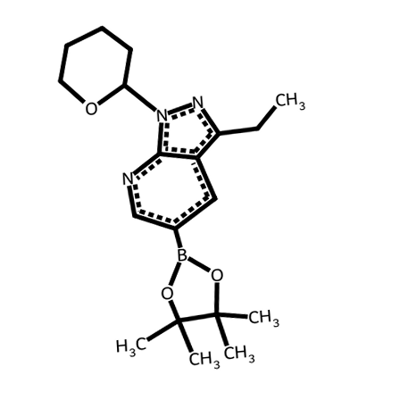 CCc1nn(C2CCCCO2)c2ncc(B3OC(C)(C)C(C)(C)O3)cc12